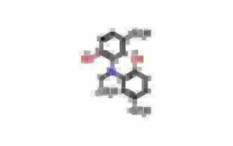 O=C(O)CN(c1cc(S(=O)(=O)O)ccc1O)c1cc(S(=O)(=O)O)ccc1O